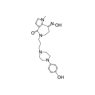 Cn1ccc2c1C(=NO)CCN(CCCN1CCN(c3ccc(O)cc3)CC1)C2=O